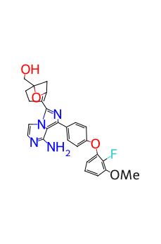 COc1cccc(Oc2ccc(-c3nc(C4=C5CC(CO)(CC4)O5)n4ccnc(N)c34)cc2)c1F